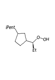 CCCC(C)C1CCC([C@H](CC)OO)C1